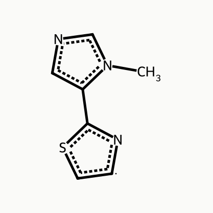 Cn1cncc1-c1n[c]cs1